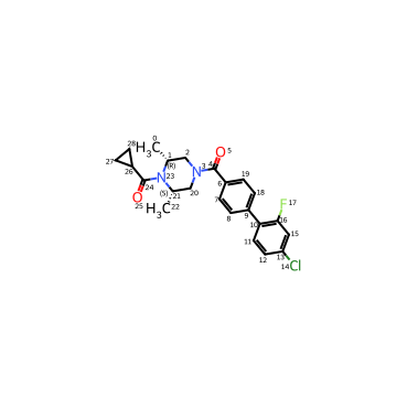 C[C@@H]1CN(C(=O)c2ccc(-c3ccc(Cl)cc3F)cc2)C[C@H](C)N1C(=O)C1CC1